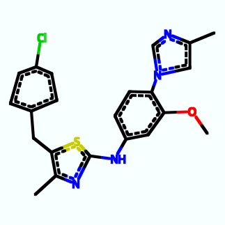 COc1cc(Nc2nc(C)c(Cc3ccc(Cl)cc3)s2)ccc1-n1cnc(C)c1